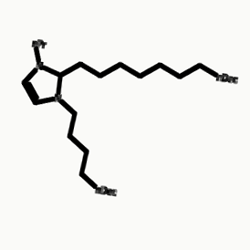 CCCCCCCCCCCCCCCCCC1N(CCC)C=CN1CCCCCCCCCCCCCC